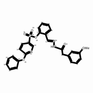 COc1cccc(CC(=O)NN=Cc2ccccc2OS(=O)(=O)c2ccc(Oc3ccccc3)nc2)c1